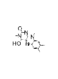 CC1=CC2N=C3C(=NC(=O)N(C)C3O)N(C)C2C=C1C